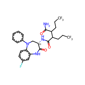 NC(=O)C(CCC(F)(F)F)C(CCC(F)(F)F)C(=O)N[C@H]1CN(c2ccccc2)c2ccc(F)cc2NC1=O